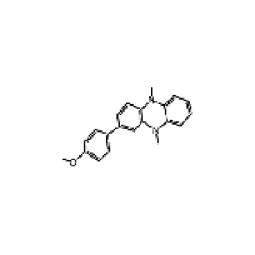 COc1ccc(-c2ccc3c(c2)N(C)c2ccccc2N3C)cc1